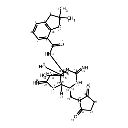 CC1(C)Cc2cccc(C(=O)NC3CN4C(=N)N[C@@H](CN5C(=O)CCC5=O)[C@@H]5NC(=N)NC54C3(O)O)c2O1